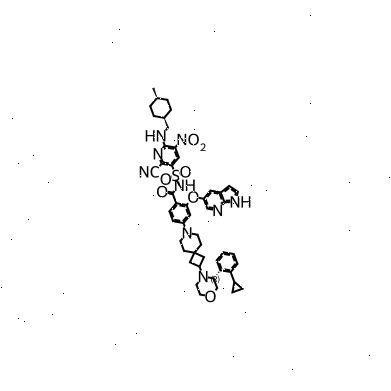 C[C@H]1CC[C@@H](CNc2nc(C#N)c(S(=O)(=O)NC(=O)c3ccc(N4CCC5(CC4)CC(N4CCOC[C@H]4c4ccccc4C4CC4)C5)cc3Oc3cnc4[nH]ccc4c3)cc2[N+](=O)[O-])CC1